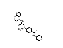 NC(CC(=O)NC1CCCc2sccc21)c1ccc(C(=O)Nc2ccncc2)cc1